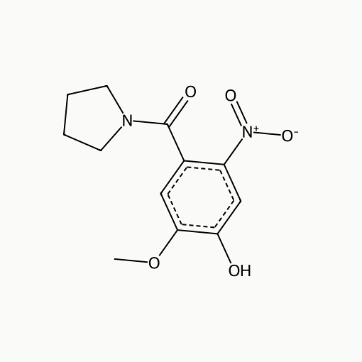 COc1cc(C(=O)N2CCCC2)c([N+](=O)[O-])cc1O